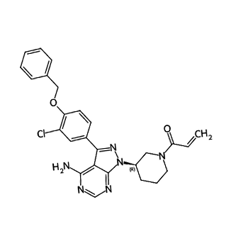 C=CC(=O)N1CCC[C@@H](n2nc(-c3ccc(OCc4ccccc4)c(Cl)c3)c3c(N)ncnc32)C1